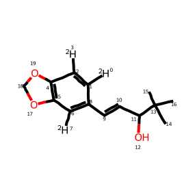 [2H]c1c([2H])c2c(c([2H])c1/C=C/C(O)C(C)(C)C)OCO2